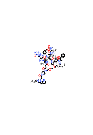 CC[C@H](C)[C@@H]([C@@H](CC(=O)N1CCC[C@H]1[C@H](OC)[C@@H](C)C(=O)N[C@H](C)[C@@H](O)c1ccccc1)OC)N(C)C(=O)[C@@H](NC(=O)[C@H](C(C)C)N(C)C(=O)OCc1ccc(NC(=O)[C@H](CCCNC(N)=O)NC(=O)[C@@H](NC(=O)CCC(=O)N(CCOCCOCCC(=O)O)C2CCN(C(=O)CCn3c(CN(C)NC)cc4cccnc43)CC2)C(C)C)cc1)C(C)C